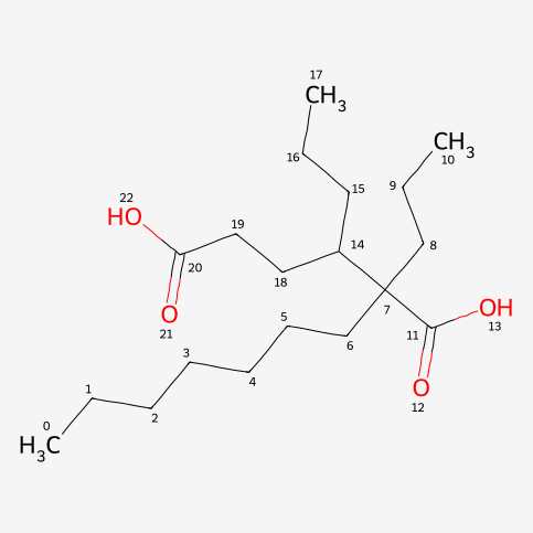 CCCCCCCC(CCC)(C(=O)O)C(CCC)CCC(=O)O